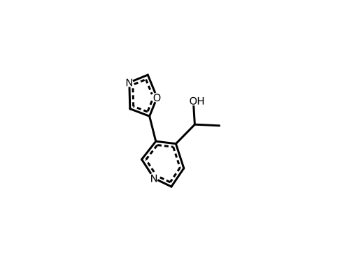 CC(O)c1ccncc1-c1cnco1